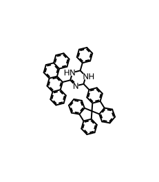 c1ccc(C2NC(c3c4ccccc4cc4ccc5ccccc5c34)=NC(c3ccc4c(c3)C3(c5ccccc5-c5ccccc53)c3ccccc3-4)N2)cc1